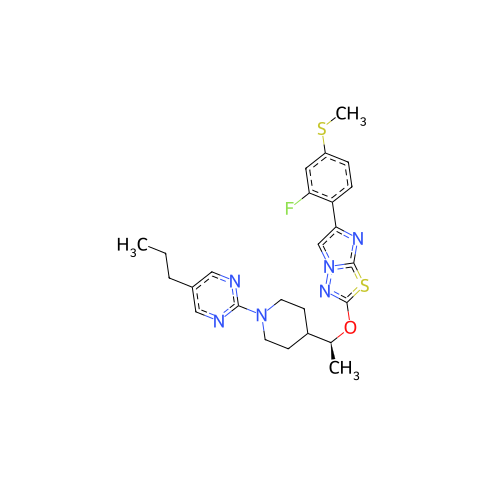 CCCc1cnc(N2CCC([C@H](C)Oc3nn4cc(-c5ccc(SC)cc5F)nc4s3)CC2)nc1